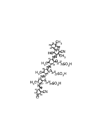 Cc1cc(N=Nc2cc(SCCCS(=O)(=O)O)c(N=Nc3cc(OCCCS(=O)(=O)O)c(N=Nc4c(C)c(C#N)c5nc6c(C)cccc6n5c4O)cc3C)cc2C)c(SCCCS(=O)(=O)O)cc1N=Nc1ccc(Cl)cc1C#N